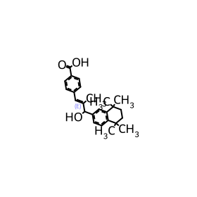 C/C(=C\c1ccc(C(=O)O)cc1)C(O)c1ccc2c(c1)C(C)(C)CCC2(C)C